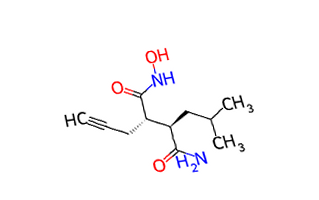 C#CC[C@H](C(=O)NO)[C@@H](CC(C)C)C(N)=O